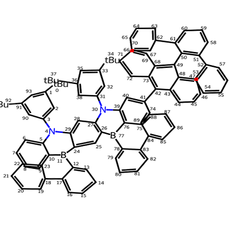 CC(C)(C)c1cc(N2c3ccccc3B(c3ccccc3-c3ccccc3)c3cc4c(cc32)N(c2cc(C(C)(C)C)cc(C(C)(C)C)c2)c2cc(-c3c5ccccc5c(-c5c(-c6ccccc6)cccc5-c5ccccc5)c5ccccc35)ccc2B4c2ccccc2-c2ccccc2)cc(C(C)(C)C)c1